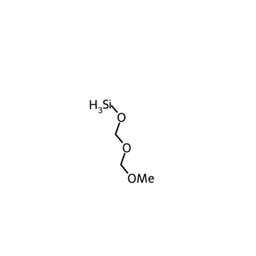 COCOCO[SiH3]